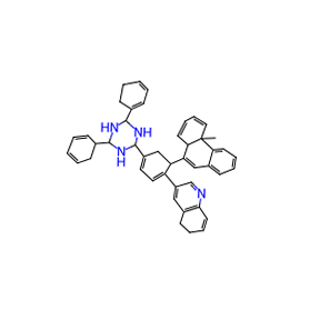 CC12C=CC=CC1C(C1CC(C3NC(C4=CC=CCC4)NC(C4C=CC=CC4)N3)=CC=C1c1cnc3c(c1)CCC=C3)=Cc1ccccc12